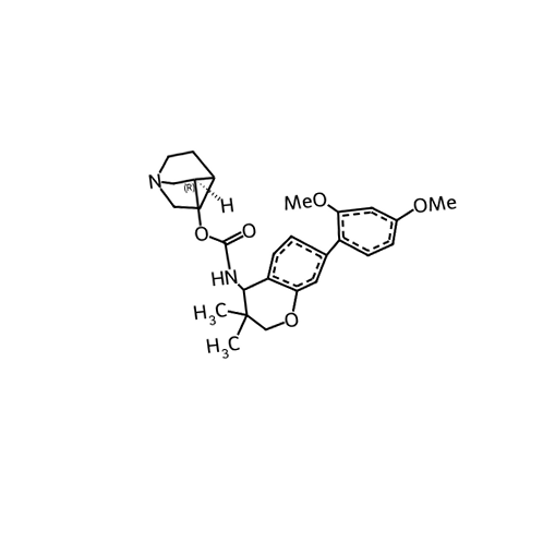 COc1ccc(-c2ccc3c(c2)OCC(C)(C)C3NC(=O)O[C@H]2CN3CCC2CC3)c(OC)c1